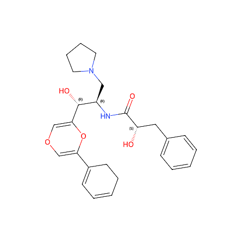 O=C(N[C@H](CN1CCCC1)[C@@H](O)C1=COC=C(C2=CC=CCC2)O1)[C@@H](O)Cc1ccccc1